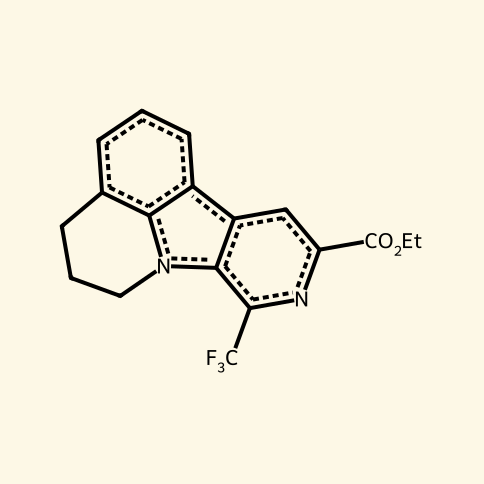 CCOC(=O)c1cc2c3cccc4c3n(c2c(C(F)(F)F)n1)CCC4